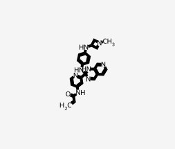 C=CC(=O)Nc1ccnc(C2(Nc3ccc(NC4CN(C)C4)cc3)N=Cc3ccncc3N2)c1